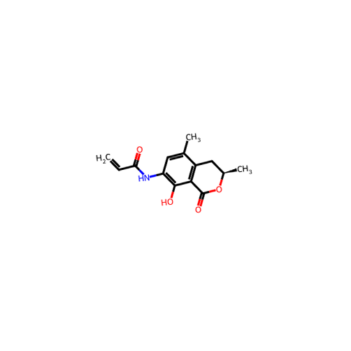 C=CC(=O)Nc1cc(C)c2c(c1O)C(=O)O[C@H](C)C2